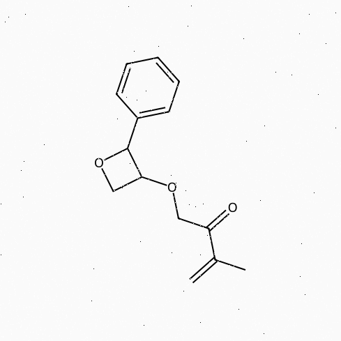 C=C(C)C(=O)COC1COC1c1ccccc1